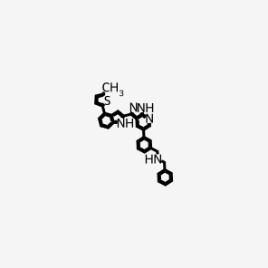 Cc1ccc(-c2cccc3[nH]c(-c4n[nH]c5ncc(-c6cccc(CNCc7ccccc7)c6)cc45)cc23)s1